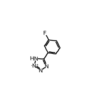 Fc1cccc(C2=NN=[N+]N2)c1